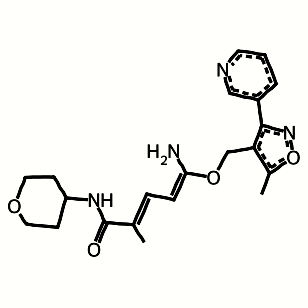 C/C(=C\C=C(/N)OCc1c(-c2cccnc2)noc1C)C(=O)NC1CCOCC1